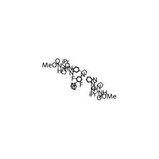 COC(=O)N[C@H](C(=O)N1CCC[C@H]1c1nc2cc([C@H]3CC[C@H](c4ccc5[nH]c([C@@H]6CCCN6C(=O)[C@@H](NC(=O)OC)C(C)C)nc5c4)N3c3cc(F)c(N4CC5CCC4CC5)c(F)c3)ccc2[nH]1)C(C)C